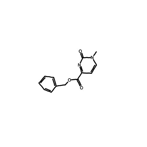 Cn1ccc(C(=O)OCc2ccccc2)nc1=O